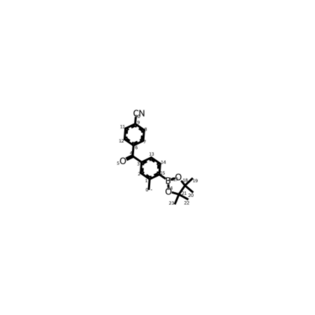 [CH2]c1cc(C(=O)c2ccc(C#N)cc2)ccc1B1OC(C)(C)C(C)(C)O1